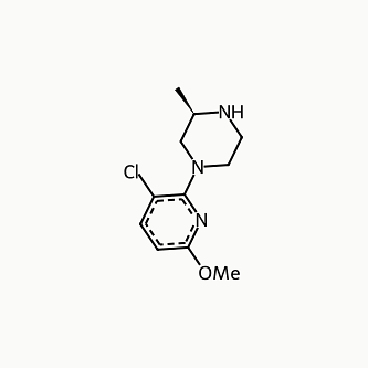 COc1ccc(Cl)c(N2CCN[C@H](C)C2)n1